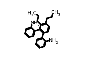 CCCc1ccc(-c2ccccc2N)c(-c2ccccc2N)c1CCC